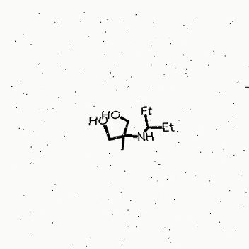 CCC(CC)NC(C)(CO)CO